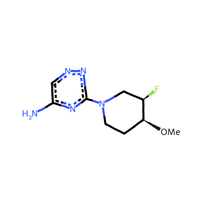 CO[C@H]1CCN(c2nncc(N)n2)C[C@H]1F